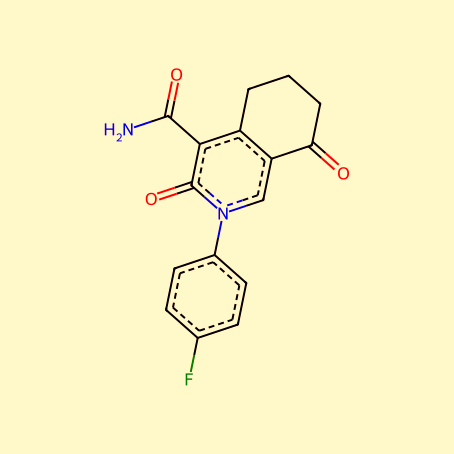 NC(=O)c1c2c(cn(-c3ccc(F)cc3)c1=O)C(=O)CCC2